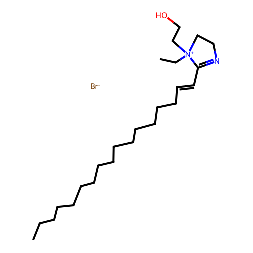 CCCCCCCCCCCCCCCC=CC1=NCC[N+]1(CC)CCO.[Br-]